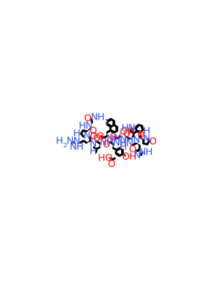 CC(=O)O.CC(C)C[C@H](NC(=O)[C@@H](Cc1cccc2ccccc12)NC(=O)[C@H](Cc1ccc(O)cc1)NC(=O)[C@H](CO)NC(=O)[C@H](Cc1c[nH]c2ccccc12)NC(=O)[C@H](Cc1cnc[nH]1)NC(=O)[C@@H]1CCC(=O)N1)C(=O)N[C@@H](CCCNC(=N)N)C(=O)N1CCC[C@H]1C(=O)NCC(N)=O